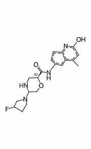 Cc1cc(O)nc2ccc(NC(=O)[C@@H]3CNC(N4CCC(F)C4)CO3)cc12